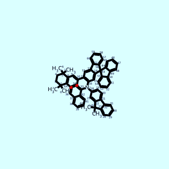 CC1(C)CCC(C)(C)c2cc(-c3cc4c(cc3N(c3ccc5c(c3)C(C)(C)c3ccccc3-5)c3cccc5ccccc35)C3(c5ccccc5-c5ccccc53)c3ccccc3-4)ccc21